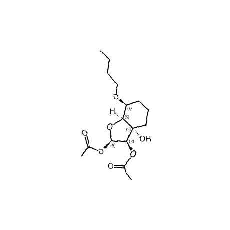 CCCCO[C@H]1CCC[C@@]2(O)[C@@H](OC(C)=O)[C@@H](OC(C)=O)O[C@@H]12